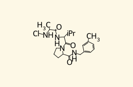 Cc1cccc(CNC(=O)C2CCCN2C(=O)C(NC(=O)C(C)NCl)C(C)C)c1